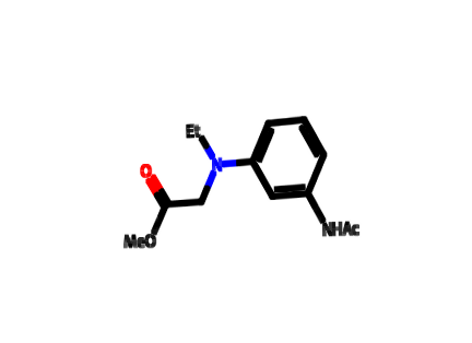 CCN(CC(=O)OC)c1cccc(NC(C)=O)c1